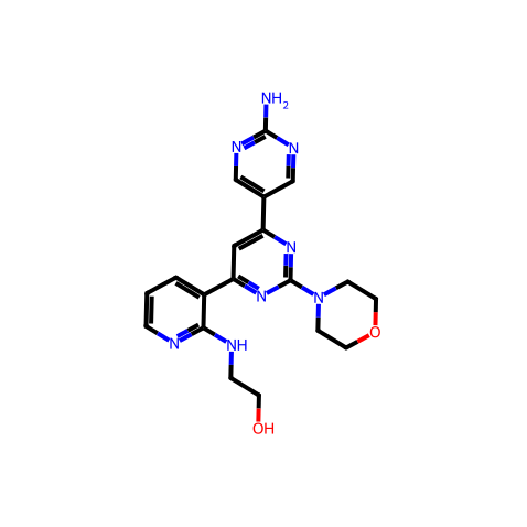 Nc1ncc(-c2cc(-c3cccnc3NCCO)nc(N3CCOCC3)n2)cn1